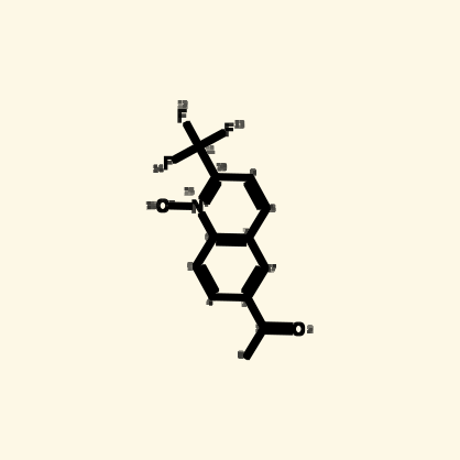 CC(=O)c1ccc2c(ccc(C(F)(F)F)[n+]2[O-])c1